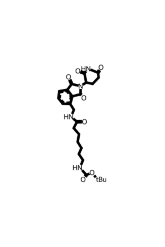 CC(C)(C)OC(=O)NCCCCCCC(=O)NCc1cccc2c1C(=O)N(C1CCC(=O)NC1=O)C2=O